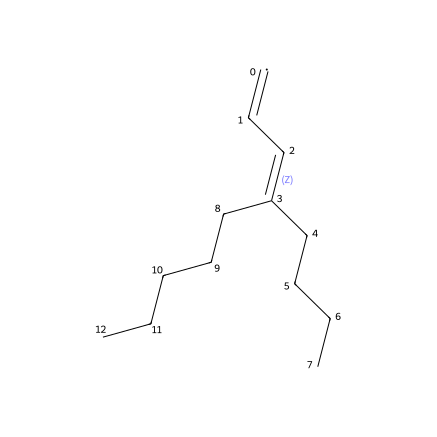 [CH]=C/C=C(/CCCC)CCCCC